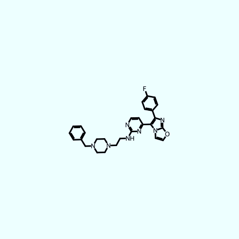 Fc1ccc(-c2nc3occn3c2-c2ccnc(NCCN3CCN(Cc4ccccc4)CC3)n2)cc1